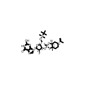 C=C(C)[C@@H]1CC[C@]2(C)SP(=S)(O[C@H]3[C@@H](F)[C@H](n4cnc5c(=O)[nH]c(O)nc54)O[C@@H]3CO[Si](C)(C)C(C)(C)C)O[C@H]2C1